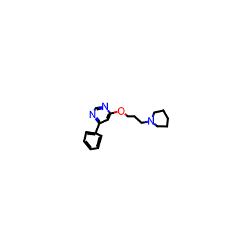 c1ccc(-c2cc(OCCCN3CCCCC3)ncn2)cc1